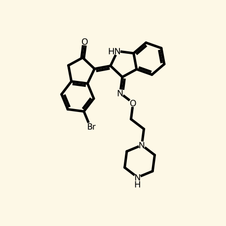 O=C1Cc2ccc(Br)cc2/C1=C1/Nc2ccccc2/C1=N\OCCN1CCNCC1